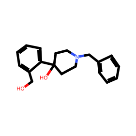 OCc1ccccc1C1(O)CCN(Cc2ccccc2)CC1